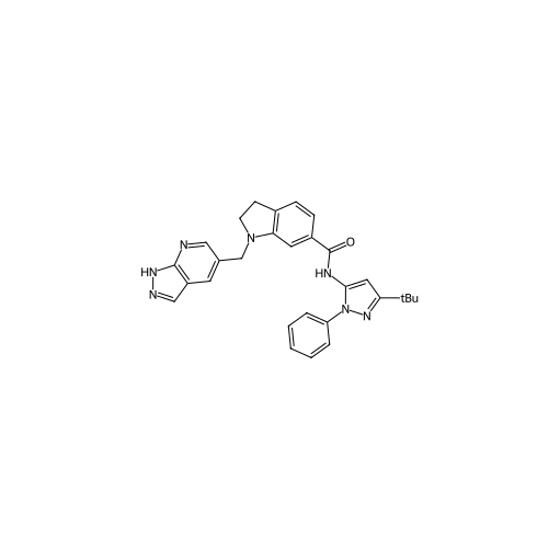 CC(C)(C)c1cc(NC(=O)c2ccc3c(c2)N(Cc2cnc4[nH]ncc4c2)CC3)n(-c2ccccc2)n1